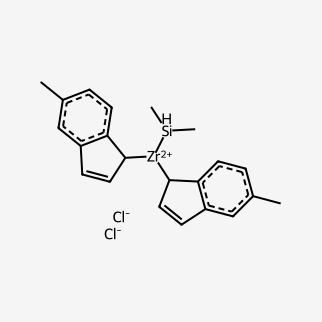 Cc1ccc2c(c1)C=C[CH]2[Zr+2]([CH]1C=Cc2cc(C)ccc21)[SiH](C)C.[Cl-].[Cl-]